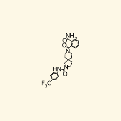 NC(=O)c1ccccc1C(=O)N1CCC2(CCN(C(=O)Nc3ccc(C(F)(F)F)cc3)C2)CC1